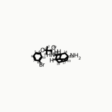 CC(C)(Oc1cccc(Br)c1)C(=O)N[C@H]1[C@@H]2CC3C[C@H]1C[C@](N)(C3)C2